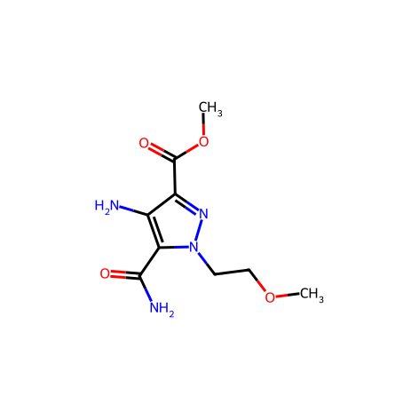 COCCn1nc(C(=O)OC)c(N)c1C(N)=O